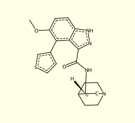 COc1ccc2[nH]nc(C(=O)N[C@@H]3CN4CCC3CC4)c2c1-c1ccsc1